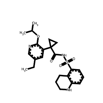 CCc1cnc(OC(C)C)c(C2(C(=O)NS(=O)(=O)c3cccc4c3CCCN4)CC2)c1